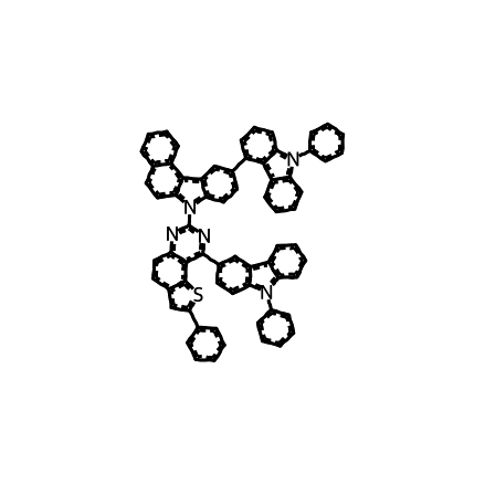 c1ccc(-c2cc3ccc4nc(-n5c6ccc(-c7cccc8c7c7ccccc7n8-c7ccccc7)cc6c6c7ccccc7ccc65)nc(-c5ccc6c(c5)c5ccccc5n6-c5ccccc5)c4c3s2)cc1